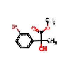 COC(=O)C(C)(O)c1cccc(Br)c1